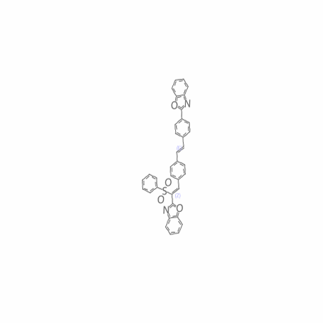 O=S(=O)(/C(=C\c1ccc(/C=C/c2ccc(-c3nc4ccccc4o3)cc2)cc1)c1nc2ccccc2o1)c1ccccc1